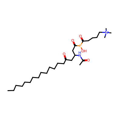 CCCCCCCCCCCCCCC(=O)CC(CC(=O)P(O)C(=O)CCCC[N+](C)(C)C)NC(C)=O